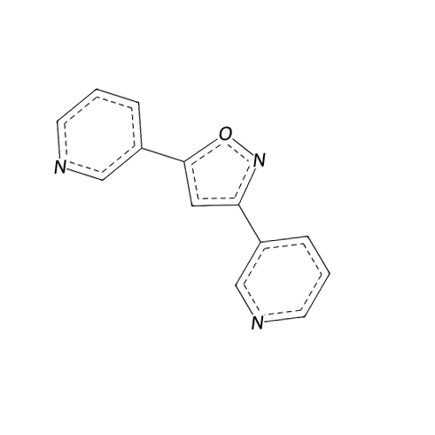 c1cncc(-c2cc(-c3cccnc3)on2)c1